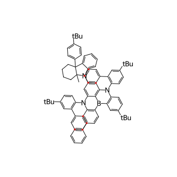 CC(C)(C)c1ccc(C23CCCCC2(C)N(c2cc4c5c(c2)N(c2ccc(C(C)(C)C)cc2-c2ccccc2)c2cc(-c6ccccc6)ccc2B5c2cc(C(C)(C)C)ccc2N4c2ccc(C(C)(C)C)cc2-c2ccccc2)c2ccccc23)cc1